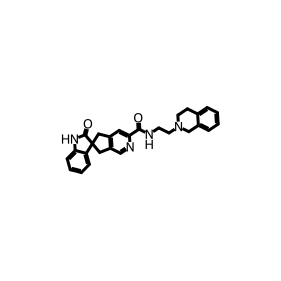 O=C(NCCN1CCc2ccccc2C1)c1cc2c(cn1)CC1(C2)C(=O)Nc2ccccc21